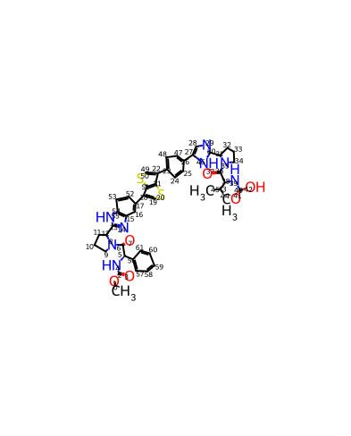 COC(=O)N[C@@H](C(=O)N1CCCC1c1nc2cc(-c3csc4c(-c5ccc(-c6cnc(C7CCCN7C(=O)[C@@H](NC(=O)O)C(C)C)[nH]6)cc5)csc34)ccc2[nH]1)c1ccccc1